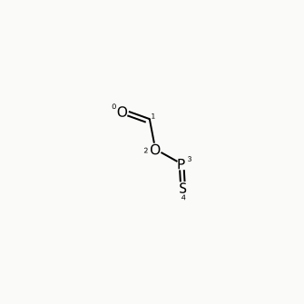 O=COP=S